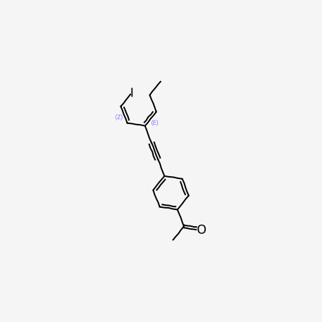 CC/C=C(C#Cc1ccc(C(C)=O)cc1)\C=C/I